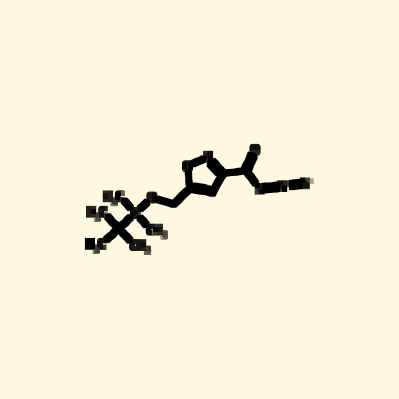 CC(C)(C)[Si](C)(C)OCc1cc(C(=O)N=[N+]=[N-])no1